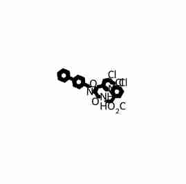 O=C(NC(Cc1ccc(Cl)cc1)C(=O)O)c1nc(-c2ccc(-c3ccccc3)cc2)oc1-c1cnc(Cl)c(Cl)c1